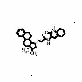 C=C1C[C@@H](CCC(=O)Nc2cc3c([nH]c2=O)CCCC3)C2C3CCc4ccccc4C3CC[C@]12C